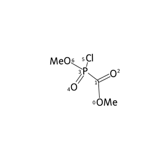 COC(=O)P(=O)(Cl)OC